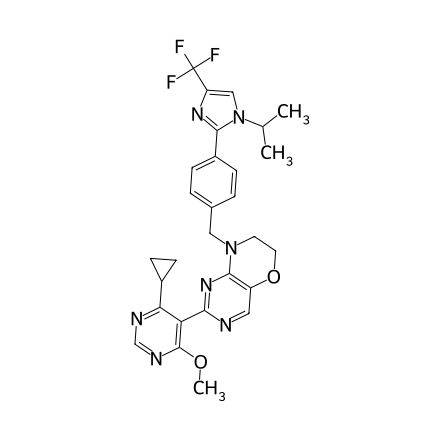 COc1ncnc(C2CC2)c1-c1ncc2c(n1)N(Cc1ccc(-c3nc(C(F)(F)F)cn3C(C)C)cc1)CCO2